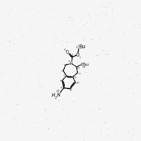 CC(C)(C)OC(=O)N1CCc2cc(N)ccc2CC1C(C)(C)C